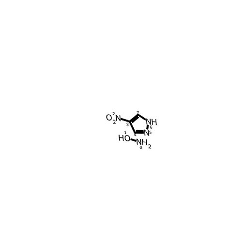 NO.O=[N+]([O-])c1cn[nH]c1